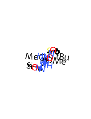 COc1nc(NCc2nccn2COCC[Si](C)(C)C)nc(OC)c1NC(=O)c1csc(Oc2cc(C(C)(C)C)ccc2C)n1